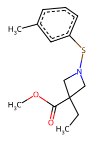 CCC1(C(=O)OC)CN(Sc2cccc(C)c2)C1